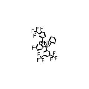 O=C(N[C@](Cc1ccccc1)(c1ccc(F)cc1)c1cc(C(F)(F)F)cc(C(F)(F)F)c1)c1ccc(F)c(C(F)(F)F)c1